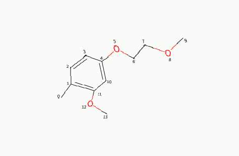 [CH2]c1ccc(OCCOC)cc1OC